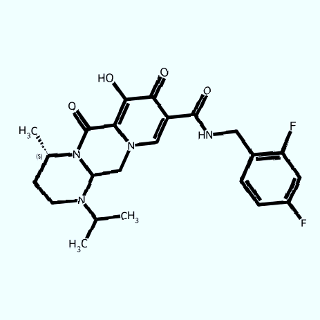 CC(C)N1CC[C@H](C)N2C(=O)c3c(O)c(=O)c(C(=O)NCc4ccc(F)cc4F)cn3CC12